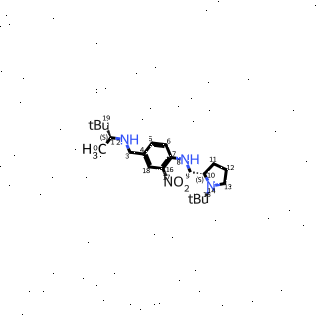 C[C@H](NCc1ccc(NC[C@@H]2CCCN2C(C)(C)C)c([N+](=O)[O-])c1)C(C)(C)C